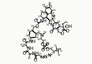 CC[C@@]1(O)C(=O)OCc2c1cc1n(c2=O)Cc2c-1nc1cc(F)c(C)c3c1c2[C@@H](NC(=O)OCc1ccc(NC(=O)[C@H](C)NC(=O)[C@H](C)NC(=O)CN=[N+]=[N-])cc1CN(C)CCOP(=O)([O-])OCC[N+](C)(C)C)CC3